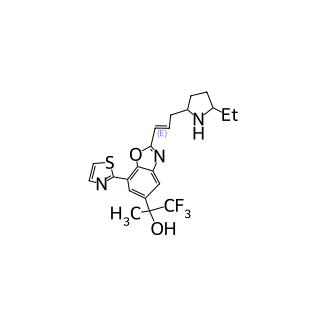 CCC1CCC(C/C=C/c2nc3cc(C(C)(O)C(F)(F)F)cc(-c4nccs4)c3o2)N1